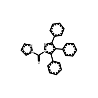 O=C(n1cccn1)n1nc(-c2ccccc2)c(-c2ccccc2)c1-c1ccccc1